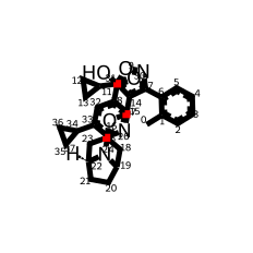 Cc1ccccc1-c1noc(C2CC2)c1COC1CC2CC[C@@H](C1)N2c1ncc(C(=O)O)cc1C1CC1